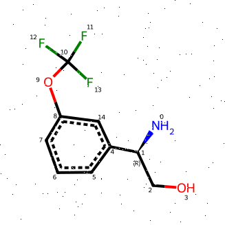 N[C@@H](CO)c1cccc(OC(F)(F)F)c1